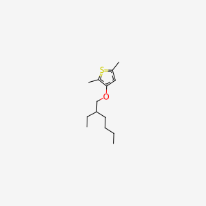 CCCCC(CC)COc1cc(C)sc1C